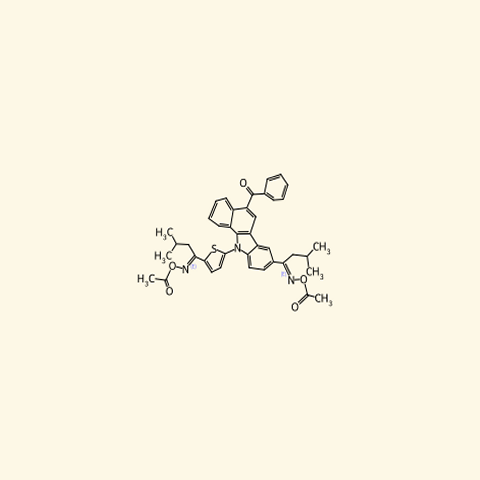 CC(=O)O/N=C(\CC(C)C)c1ccc2c(c1)c1cc(C(=O)c3ccccc3)c3ccccc3c1n2-c1ccc(/C(CC(C)C)=N/OC(C)=O)s1